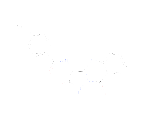 COc1ccc(C(=O)Nc2c(=O)[nH]n3c(=O)c4ccccc4[nH]c23)cc1